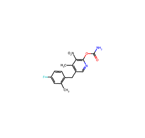 Cc1cc(F)ccc1Cc1cnc(OC(N)=O)c([N+](=O)[O-])c1C